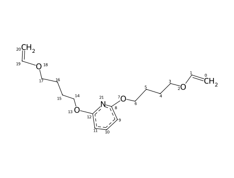 C=COCCCCOc1cccc(OCCCCOC=C)n1